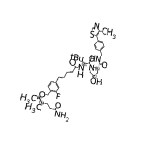 Cc1ncsc1-c1ccc(CNC(=O)[C@@H]2C[C@@H](O)CN2C(=O)[C@@H](NC(=O)CCCCc2ccc(CO[C@H](C)[C@@H](C)CCC(N)=O)c(F)c2)C(C)(C)C)cc1